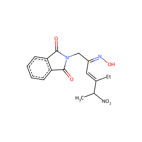 CC/C(=C\C(CN1C(=O)c2ccccc2C1=O)=N/O)C(C)[N+](=O)[O-]